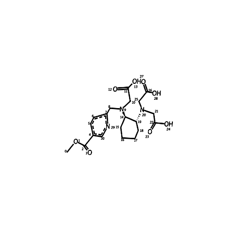 COC(=O)c1ccc(CN(CC(=O)O)[C@@H]2CCCC[C@H]2N(CC(=O)O)CC(=O)O)nc1